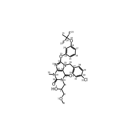 COCC(O)Cn1c(=O)c2c(nc(Oc3cccc(OC(C)(F)F)c3)n2Cc2ccc(Cl)cc2)n(C)c1=O